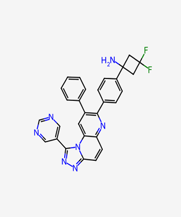 NC1(c2ccc(-c3nc4ccc5nnc(-c6cncnc6)n5c4cc3-c3ccccc3)cc2)CC(F)(F)C1